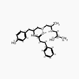 CC(COCC(Cc1ccc(O)cc1)NC(=O)CCc1ccccc1)OC[C@@H](C)O